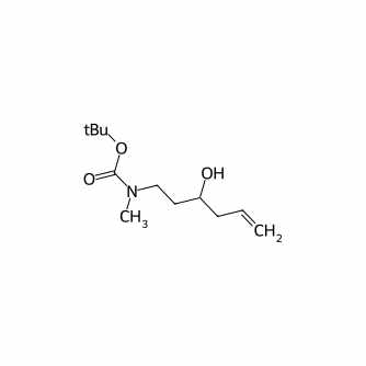 C=CCC(O)CCN(C)C(=O)OC(C)(C)C